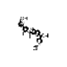 OCCN1CCC(C(O)c2ccc3cnc(Nc4ccc(-n5ccc(CO)n5)cc4F)cc3n2)CC1